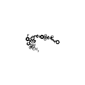 COC(=O)N[C@H]1CCC[C@@H]1[C@](CN1CCC1)(c1cccc(F)c1)C1CCN(CC2CN(c3ccc(S(=O)(=O)C4CN(C(=O)/C=C/CN5CCCCC5)C4)cc3)C2)CC1